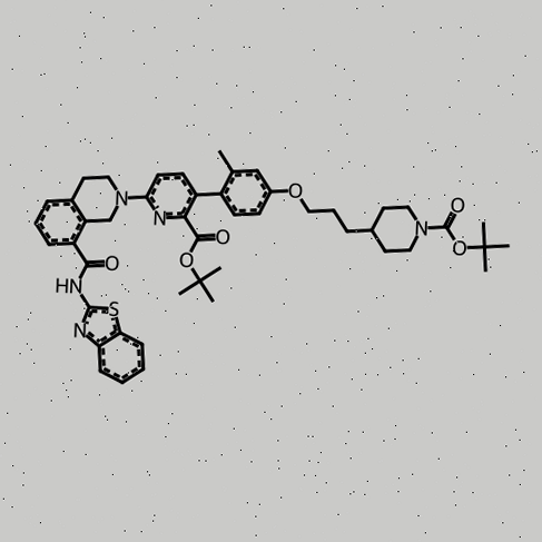 Cc1cc(OCCCC2CCN(C(=O)OC(C)(C)C)CC2)ccc1-c1ccc(N2CCc3cccc(C(=O)Nc4nc5ccccc5s4)c3C2)nc1C(=O)OC(C)(C)C